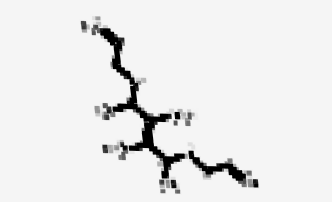 C=CCOC(C)C(C(=O)O)=C(C(=O)O)C(C)OCC=C